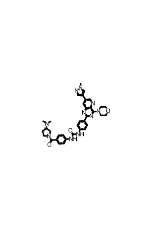 CN(C)[C@@H]1CCN(C(=O)c2ccc(NC(=O)Nc3ccc(-c4nc(N5CCOCC5)c5ncc(-c6cnn(C)c6)cc5n4)cc3)cc2)C1